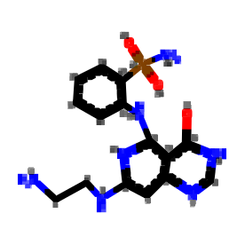 NCCNc1cc2nc[nH]c(=O)c2c(Nc2ccccc2S(N)(=O)=O)n1